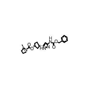 C[C@@H]1CCCN1C(=O)O[C@@H]1CC[C@H](c2cc(NC(=O)OCc3ccccc3)n[nH]2)C1